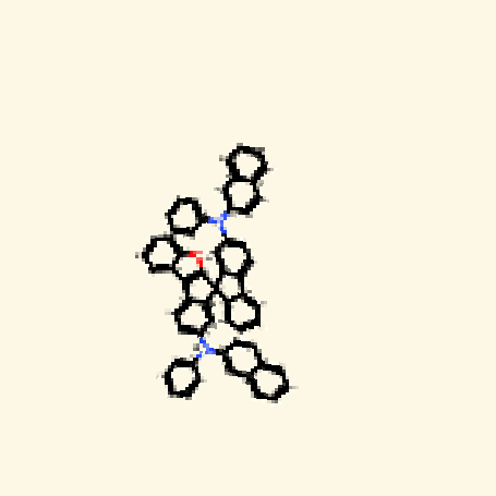 c1ccc(N(c2ccc3c(c2)C2(c4ccccc4-3)c3cc(N(c4ccccc4)c4ccc5ccccc5c4)ccc3-c3c2oc2ccccc32)c2ccc3ccccc3c2)cc1